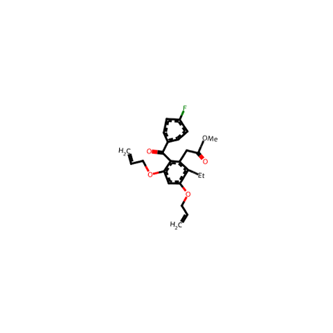 C=CCOc1cc(OCC=C)c(C(=O)c2ccc(F)cc2)c(CC(=O)OC)c1CC